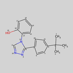 CC(C)(C)c1ccc(-c2nncn2-c2ccccc2O)cc1